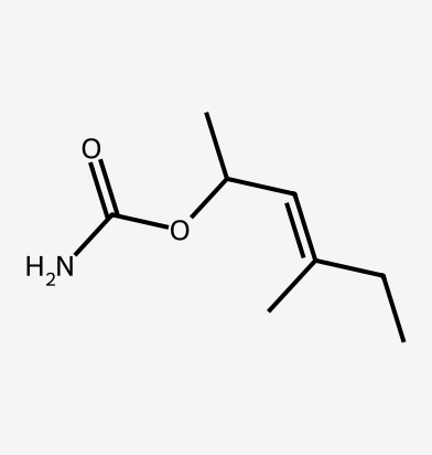 CC/C(C)=C/C(C)OC(N)=O